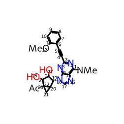 CNc1nc(C#Cc2ccccc2OC)nc2c1ncn2[C@@H]1C2C[C@]2(C(C)=O)C(O)[C@H]1O